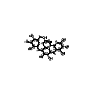 OC[C@H]1OC(O[C@@H]2[C@H](O)[C@@H](O)[C@H](O[C@@H]3[C@H](O)[C@@H](O)[C@H](O)O[C@@H]3CO)O[C@@H]2CO)[C@H](O)[C@@H](O)[C@@H]1O